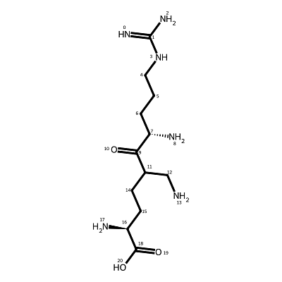 N=C(N)NCCC[C@H](N)C(=O)C(CN)CC[C@H](N)C(=O)O